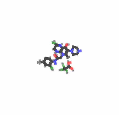 CCc1c(N2CCNCC2)c(=O)c2nc(Br)cnc2n1CC(=O)Nc1ccc(C(F)(F)F)cc1Cl.O=C(O)C(F)(F)F